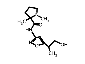 CC(CO)c1cc(NC(=O)C2(C)CCCN2C)no1